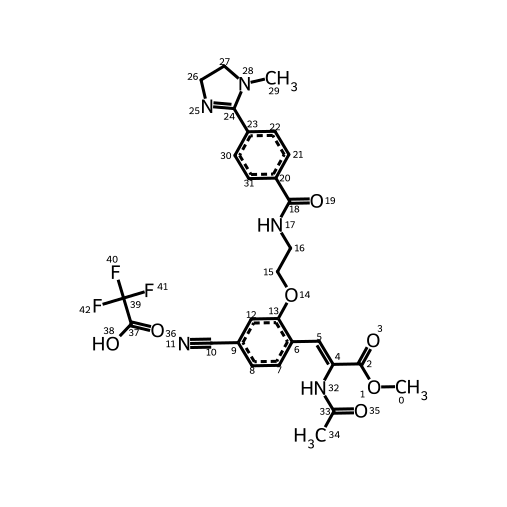 COC(=O)C(=Cc1ccc(C#N)cc1OCCNC(=O)c1ccc(C2=NCCN2C)cc1)NC(C)=O.O=C(O)C(F)(F)F